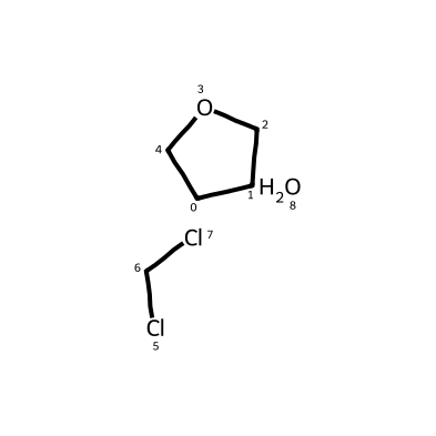 C1CCOC1.ClCCl.O